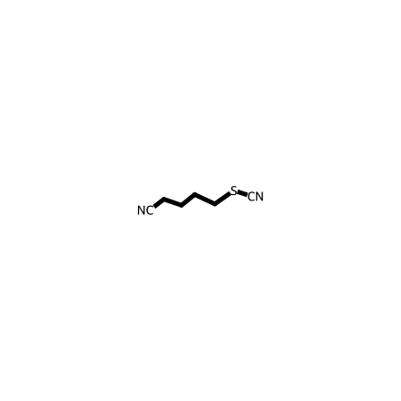 N#CCCCCSC#N